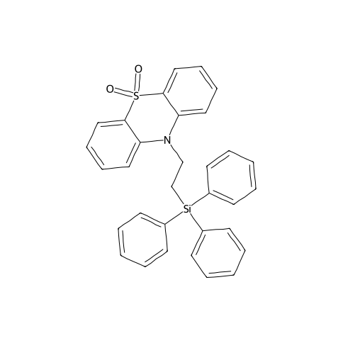 O=S1(=O)c2ccccc2N(CC[Si](c2ccccc2)(c2ccccc2)c2ccccc2)c2ccccc21